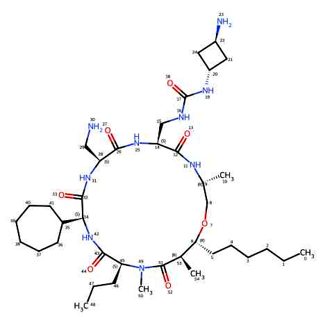 CCCCCC[C@H]1OC[C@@H](C)NC(=O)[C@H](CNC(=O)N[C@H]2C[C@H](N)C2)NC(=O)[C@H](CN)NC(=O)[C@H](C2CCCCCC2)NC(=O)[C@H](CCC)N(C)C(=O)[C@@H]1C